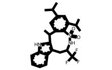 CC(C)c1cc(C(C)C)c2c(c1)C(C)c1[nH]c3ccccc3c1CC(C(F)(F)F)NS2(=O)=O